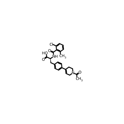 CC(=O)N1CC=C(c2ccc(C[C@H](NC(=O)c3c(C)cccc3Cl)C(=O)O)cc2)CC1